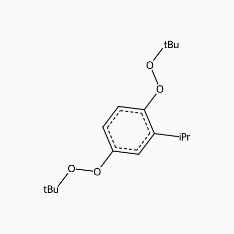 CC(C)c1cc(OOC(C)(C)C)ccc1OOC(C)(C)C